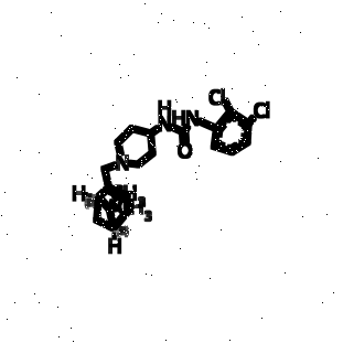 CC1(C)[C@H]2CC=C(CN3CCC(NC(=O)Nc4cccc(Cl)c4Cl)CC3)[C@@H]1C2